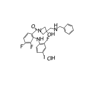 Cl.O=C(c1ccc(F)c(F)c1Nc1ccc(I)cc1F)N1CC(O)(CNCc2ccccc2)C1